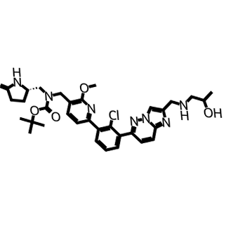 COc1nc(-c2cccc(-c3ccc4nc(CNCC(C)O)cn4n3)c2Cl)ccc1CN(C[C@@H]1CCC(=O)N1)C(=O)OC(C)(C)C